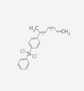 C=C/C=C\C=C(/C)c1ccc([Si](Cl)(Cl)c2ccccc2)cc1